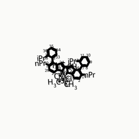 CCCc1ccc2c(c1-c1ccccc1C(C)C)C=C(C)[CH]2[Zr]([Cl])([Cl])([CH]1C(C)=Cc2c1ccc(CCC)c2-c1ccccc1C(C)C)[SiH](C)C